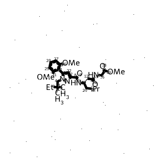 CCC(C)(C)Cn1nc(C(=O)N[C@H](CC(=O)NCC(=O)OC)CC(C)C)cc1-c1c(OC)cccc1OC